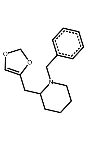 C1=C(CC2CCCCN2Cc2ccccc2)OCO1